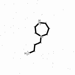 CCCCN1CCCNCC1